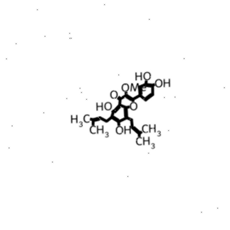 COc1c(-c2ccc(O)c(O)c2)oc2c(CC=C(C)C)c(O)c(CC=C(C)C)c(O)c2c1=O